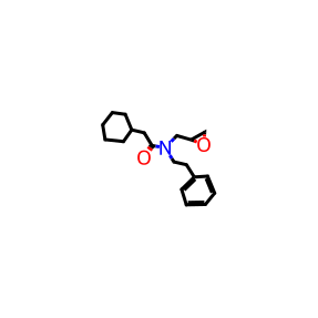 O=C(CC1CCCCC1)N(CCc1ccccc1)CC1CO1